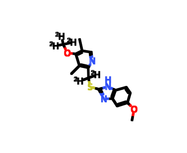 [2H]C([2H])([2H])Oc1c(C)cnc(C([2H])([2H])Sc2nc3cc(OC)ccc3[nH]2)c1C